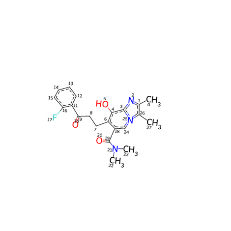 Cc1nc2c(O)c(CCC(=O)c3ccccc3F)c(C(=O)N(C)C)cn2c1C